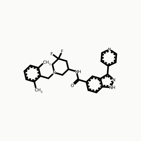 Cc1cccc(C)c1CN1CC(NC(=O)c2ccc3[nH]nc(-c4ccncc4)c3c2)CC(F)(F)C1